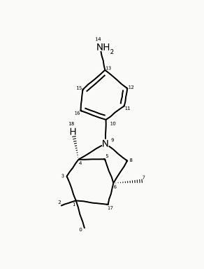 CC1(C)C[C@@H]2C[C@@](C)(CN2c2ccc(N)cc2)C1